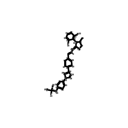 CC1CS/C(=N\N=C\c2ccc(-c3ncn(-c4ccc(OC(F)(F)F)cc4)n3)cc2)N1c1c(F)cccc1F